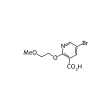 COCCOc1ncc(Br)cc1C(=O)O